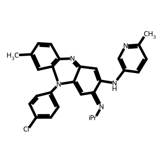 Cc1ccc2nc3cc(Nc4ccc(C)nc4)/c(=N/C(C)C)cc-3n(-c3ccc(Cl)cc3)c2c1